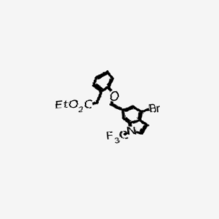 CCOC(=O)Cc1ccccc1OCc1cc(Br)c2ccn(C(F)(F)F)c2c1